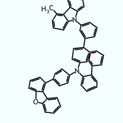 Cc1cccc2c1c1ccccc1n2-c1cccc(-c2ccc(N(c3ccc(-c4cccc5oc6ccccc6c45)cc3)c3ccccc3-c3ccccc3)cc2)c1